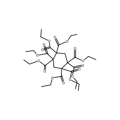 CCOC(=O)C1(C(=O)OCC)CC(C(=O)OCC)(C(=O)OCC)C(C(=O)OCC)(C(=O)OCC)CC1(C(=O)OCC)C(=O)OCC